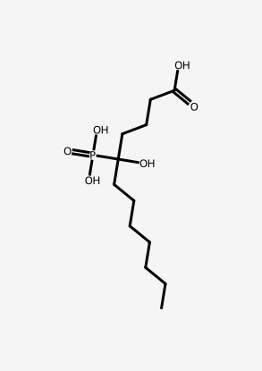 CCCCCCCC(O)(CCCC(=O)O)P(=O)(O)O